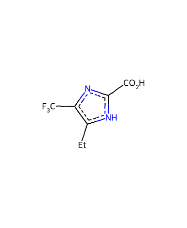 CCc1[nH]c(C(=O)O)nc1C(F)(F)F